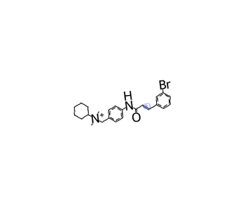 C[N+](C)(Cc1ccc(NC(=O)/C=C/c2cccc(Br)c2)cc1)C1CCCCC1